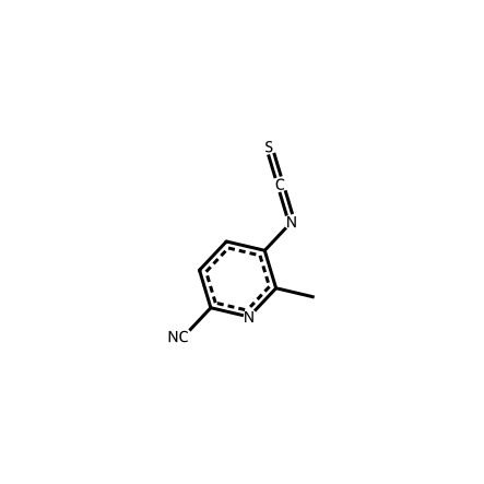 Cc1nc(C#N)ccc1N=C=S